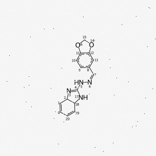 C1=CC2N=C(N/N=C\c3ccc4c(c3)OCO4)NC2C=C1